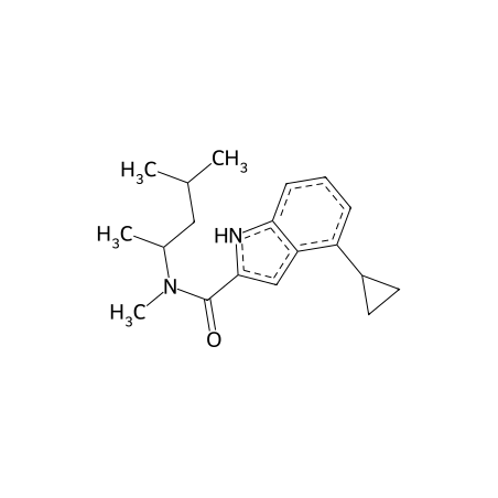 CC(C)CC(C)N(C)C(=O)c1cc2c(C3CC3)cccc2[nH]1